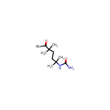 CC(C)(CCC(C)(C)C(=O)C(C)(C)C)NC(N)=O